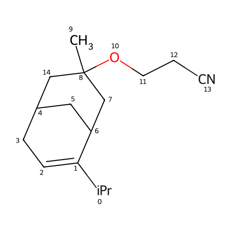 CC(C)C1=CCC2CC1CC(C)(OCCC#N)C2